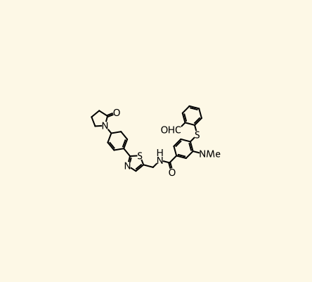 CNc1cc(C(=O)NCc2cnc(C3=CCC(N4CCCC4=O)C=C3)s2)ccc1Sc1ccccc1C=O